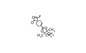 CC1(C)OB(C2=CCC(CF)(C(=O)O)CC2)OC1(C)C